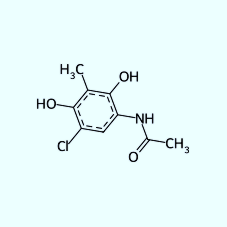 CC(=O)Nc1cc(Cl)c(O)c(C)c1O